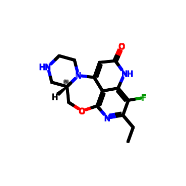 CCc1nc2c3c(cc(=O)[nH]c3c1F)N1CCNC[C@H]1CO2